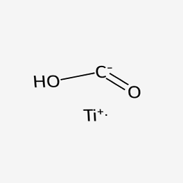 O=[C-]O.[Ti+]